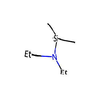 CCN(CC)[Si](C)C